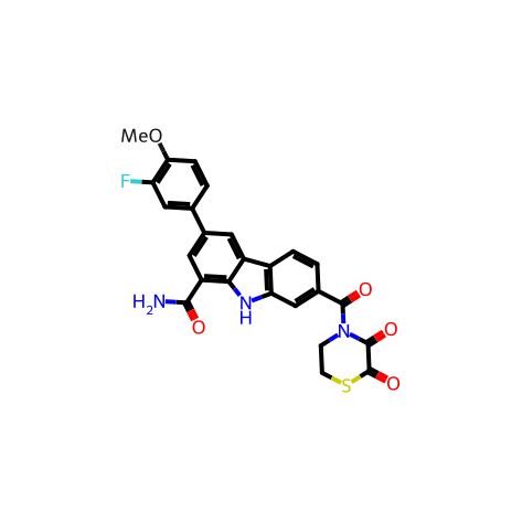 COc1ccc(-c2cc(C(N)=O)c3[nH]c4cc(C(=O)N5CCSC(=O)C5=O)ccc4c3c2)cc1F